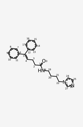 O=C(CCC=C(c1ccccc1)c1ccccc1)NCCCCn1ccnc1